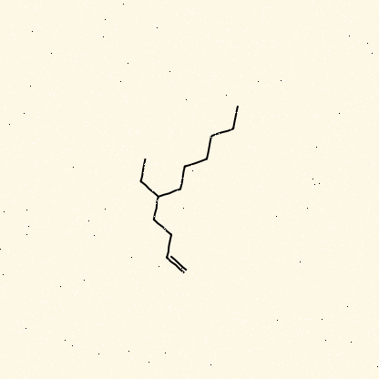 C=CCCC(CC)CCCCCC